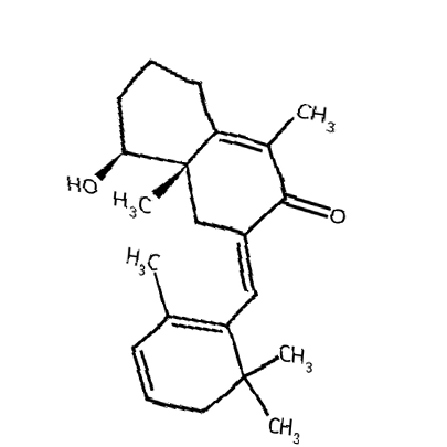 CC1=C(/C=C2\C[C@@]3(C)C(=C(C)C2=O)CCC[C@@H]3O)C(C)(C)CC=C1